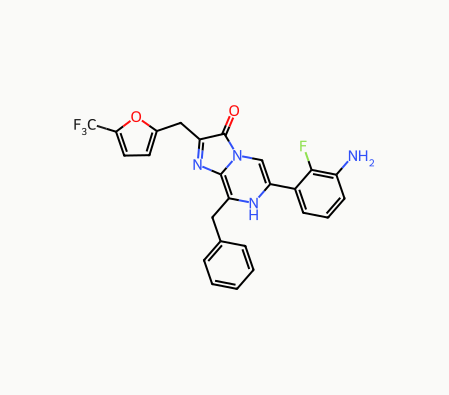 Nc1cccc(-c2cn3c(=O)c(Cc4ccc(C(F)(F)F)o4)nc-3c(Cc3ccccc3)[nH]2)c1F